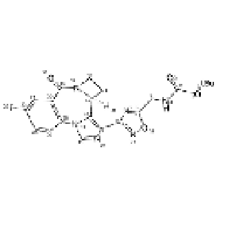 CC(C)(C)OC(=O)NCc1nc(-c2ncn3c2[C@@H]2CCN2C(=O)c2cc(F)ccc2-3)no1